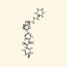 O=C(Nc1ccc(-c2nnc(NCCCN3CCCCC3)o2)cc1)c1ccc(F)cc1